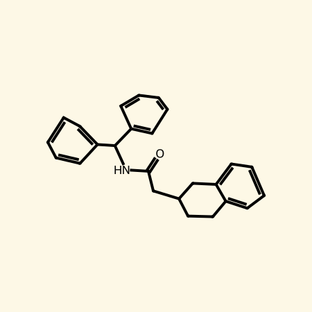 O=C(CC1CCc2ccccc2C1)NC(c1ccccc1)c1ccccc1